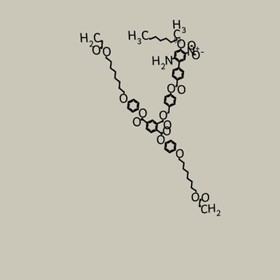 C=CC(=O)OCCCCCCCCOc1ccc(OC(=O)c2ccc(C(=O)Oc3ccc(OCCCCCCCCOC(=O)C=C)cc3)c(C(=O)OCc3ccc(OC(=O)c4ccc(-c5cc([N+](=O)[O-])c(O[C@@H](C)CCCCCC)cc5N)cc4)cc3)c2)cc1